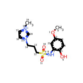 COc1ccc(O)c(NS(=O)(=O)CCCn2cc[n+](C)c2)c1